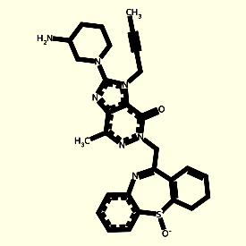 CC#CCn1c(N2CCCC(N)C2)nc2c(C)nn(CC3=Nc4ccccc4[S+]([O-])C4=C3C=CCC4)c(=O)c21